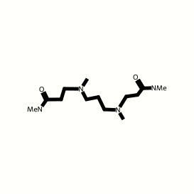 CNC(=O)CCN(C)CCCN(C)CCC(=O)NC